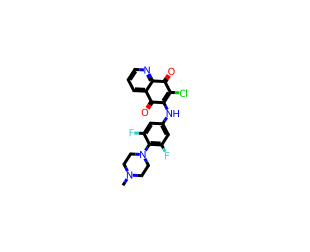 CN1CCN(c2c(F)cc(NC3=C(Cl)C(=O)c4ncccc4C3=O)cc2F)CC1